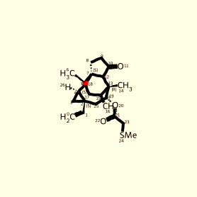 C=C[C@@]12C[C@H]1[C@H](C)[C@]13CCC(=O)C1[C@@](C)(C(C)CC3)[C@H](OC(=O)CSC)C2